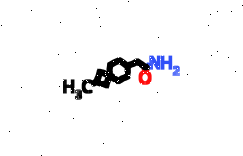 CC1CC2(CCC(CC(N)=O)CC2)C1